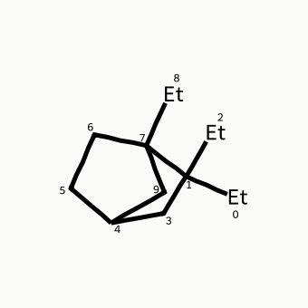 CCC1(CC)CC2CCC1(CC)C2